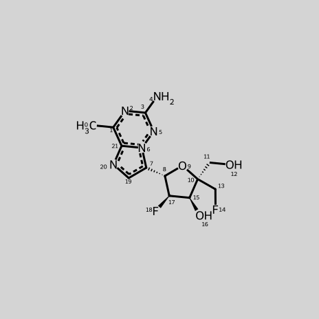 Cc1nc(N)nn2c([C@@H]3O[C@@](CO)(CF)[C@@H](O)[C@H]3F)cnc12